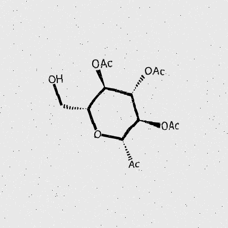 CC(=O)O[C@@H]1[C@@H](OC(C)=O)[C@H](C(C)=O)O[C@H](CO)[C@H]1OC(C)=O